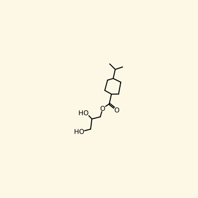 CC(C)C1CCC(C(=O)OCC(O)CO)CC1